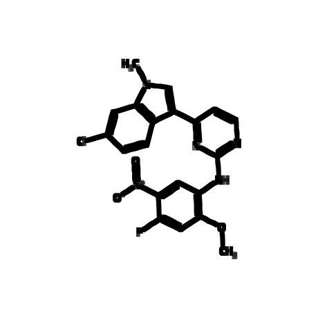 COc1cc(F)c([N+](=O)[O-])cc1Nc1nccc(-c2cn(C)c3cc(Cl)ccc23)n1